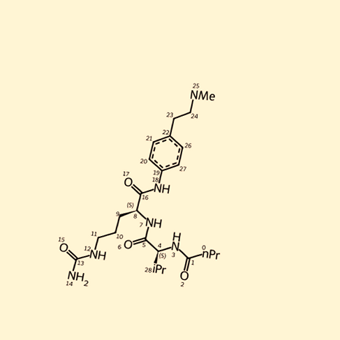 CCCC(=O)N[C@H](C(=O)N[C@@H](CCCNC(N)=O)C(=O)Nc1ccc(CCNC)cc1)C(C)C